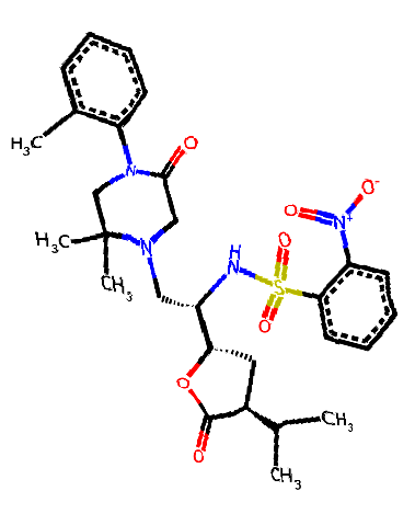 Cc1ccccc1N1CC(C)(C)N(C[C@H](NS(=O)(=O)c2ccccc2[N+](=O)[O-])[C@@H]2C[C@@H](C(C)C)C(=O)O2)CC1=O